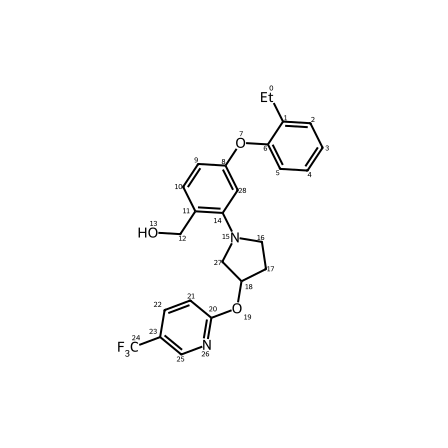 CCc1ccccc1Oc1ccc(CO)c(N2CCC(Oc3ccc(C(F)(F)F)cn3)C2)c1